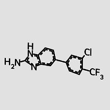 Nc1nc2cc(-c3ccc(C(F)(F)F)c(Cl)c3)ccc2[nH]1